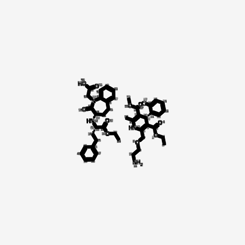 CCOC(=O)C1=C(COCCN)NC(C)=C(C(=O)OC)[C@@H]1c1ccccc1Cl.CCOC(=O)[C@H](CCc1ccccc1)N[C@H]1CCc2ccccc2N(CC(=O)O)C1=O